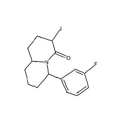 O=C1C(I)CCC2CCCC(c3cccc(F)c3)N12